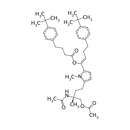 CC(=O)N[C@](C)(CCc1ccc(C(=CCCc2ccc(C(C)(C)C)cc2)OC(=O)CCCc2ccc(C(C)(C)C)cc2)n1C)COC(C)=O